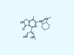 CN/C=C(\C=N)c1nc(NC2CCCCC2NC)c(C)c2c1C(=O)NC2